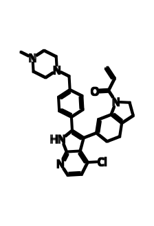 C=CC(=O)N1CCC2=C1C=C(c1c(-c3ccc(CN4CCN(C)CC4)cc3)[nH]c3nccc(Cl)c13)CC2